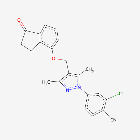 Cc1nn(-c2ccc(C#N)c(Cl)c2)c(C)c1COc1cccc2c1CCC2=O